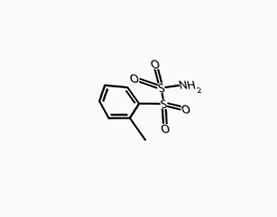 Cc1ccccc1S(=O)(=O)S(N)(=O)=O